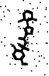 COc1ccc(Br)c(S(=O)(=O)NC(=O)c2cn(-c3c(F)cccc3F)cn2)c1